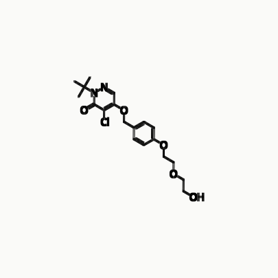 CC(C)(C)n1ncc(OCc2ccc(OCCOCCO)cc2)c(Cl)c1=O